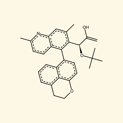 C=C(O)[C@@H](OC(C)(C)C)c1c(C)cc2nc(C)ccc2c1-c1ccc2c3c(cccc13)CCO2